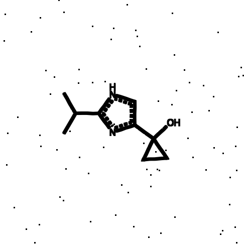 CC(C)c1nc(C2(O)CC2)c[nH]1